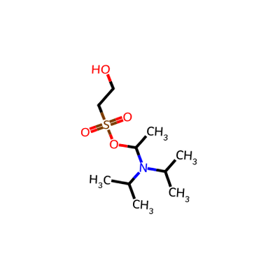 CC(C)N(C(C)C)C(C)OS(=O)(=O)CCO